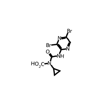 O=C(O)N(C(=O)Nc1ncc(Br)nc1Br)C1CC1